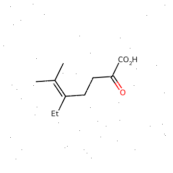 CCC(CCC(=O)C(=O)O)=C(C)C